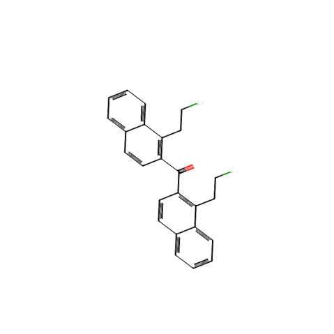 O=C(c1ccc2ccccc2c1CCBr)c1ccc2ccccc2c1CCBr